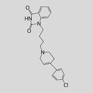 O=c1[nH]c(=O)n(CCCCN2CC=C(c3ccc(Cl)cc3)CC2)c2ccccc12